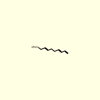 C=C/C=[C]/CCC=CCCCCCC